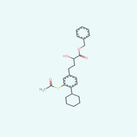 CC(=O)Sc1cc(CCC(O)C(=O)OCc2ccccc2)ccc1C1CCCCC1